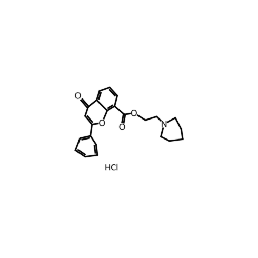 Cl.O=C(OCCN1CCCCC1)c1cccc2c(=O)cc(-c3ccccc3)oc12